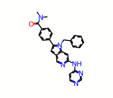 CN(C)C(=O)c1ccc(-c2cc3cnc(Nc4ccncn4)cc3n2Cc2ccccc2)cc1